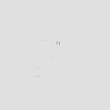 COCCS(=O)(=O)N1CC[CH]CC1